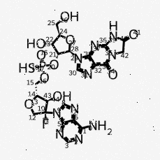 Nc1ncnc2c1ncn2[C@]1(F)CO[C@H](COP(=O)(S)O[C@@H]2[C@H](O)[C@@H](CO)O[C@H]2n2cnc3c(=O)n4c(nc32)NC(=O)C4)[C@H]1O